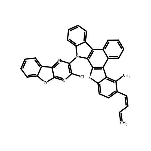 C=C/C=C\c1ccc2sc3c(c4ccccc4c4c5ccccc5n(-c5nc6c(nc5Cl)oc5ccccc56)c34)c2c1C